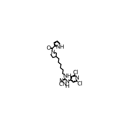 N#C/N=C(/NCCCCCCC1CCN(C(=O)c2ccc[nH]2)C1)Nc1cc(Cl)nc(Cl)c1